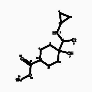 CCC(NC1CC1)C1(O)CCN(C(=O)OC(C)(C)C)CC1